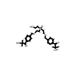 CC(C)(O)C(=O)c1ccc(COCCP(=O)(CCO)CCOCc2ccc(C(=O)C(C)(C)O)cc2)cc1